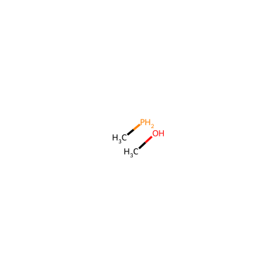 CO.CP